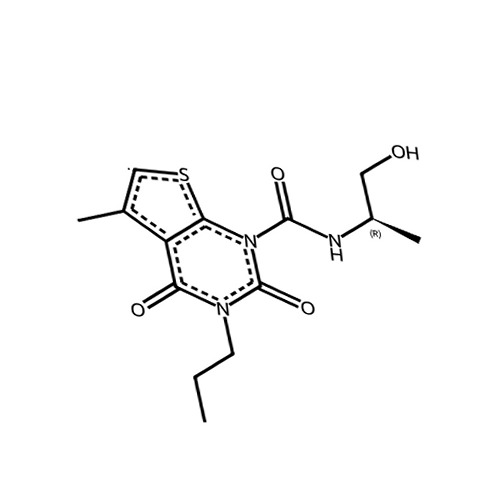 CCCn1c(=O)c2c(C)[c]sc2n(C(=O)N[C@H](C)CO)c1=O